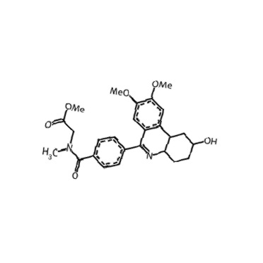 COC(=O)CN(C)C(=O)c1ccc(C2=NC3CCC(O)CC3c3cc(OC)c(OC)cc32)cc1